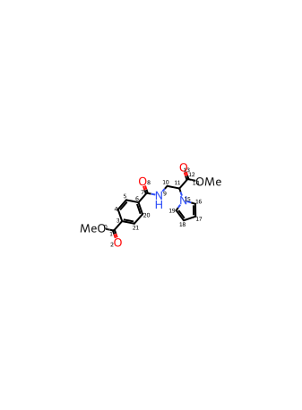 COC(=O)c1ccc(C(=O)NCC(C(=O)OC)n2cccc2)cc1